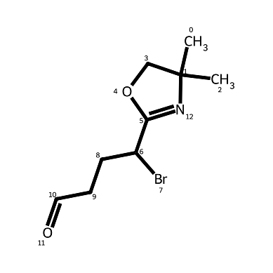 CC1(C)COC(C(Br)CCC=O)=N1